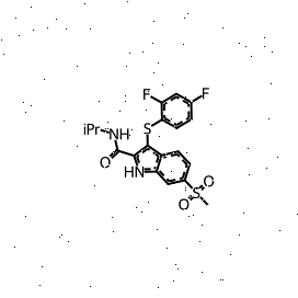 CC(C)NC(=O)c1[nH]c2cc(S(C)(=O)=O)ccc2c1Sc1ccc(F)cc1F